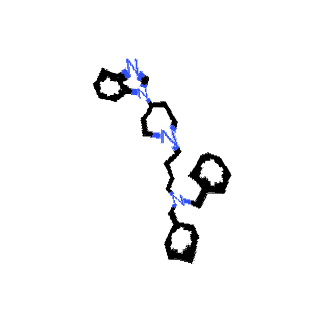 c1ccc(CN(CCCCN2CCC(n3cnc4ccccc43)CC2)Cc2ccccc2)cc1